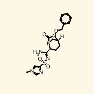 Cn1cnc(S(=O)(=O)N=C(N)[C@@H]2CC[C@@H]3CN2C(=O)N3OCc2ccccc2)c1